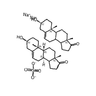 C[C@]12CC[C@H](O)CC1=CCC1C2CC[C@]2(C)C(=O)CCC12.C[C@]12CC[C@H](O)CC1=CC[C@@H]1C3CCC(=O)[C@@]3(C)CC[C@H]12.O=S(=O)([O-])[O-].[Na+].[Na+]